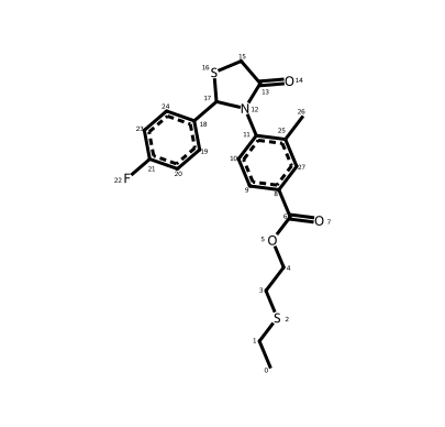 CCSCCOC(=O)c1ccc(N2C(=O)CSC2c2ccc(F)cc2)c(C)c1